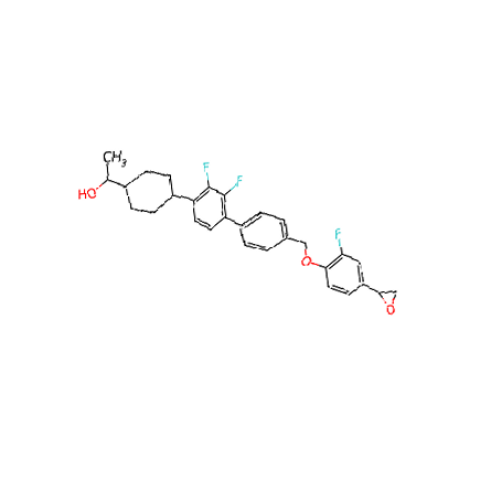 CC(O)C1CCC(c2ccc(-c3ccc(COc4ccc(C5CO5)cc4F)cc3)c(F)c2F)CC1